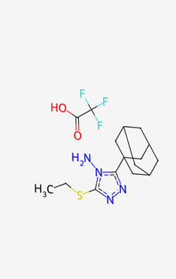 CCSc1nnc(C23CC4CC(CC(C4)C2)C3)n1N.O=C(O)C(F)(F)F